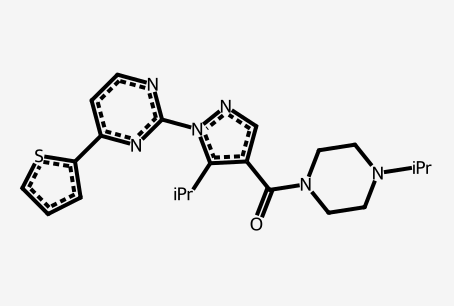 CC(C)c1c(C(=O)N2CCN(C(C)C)CC2)cnn1-c1nccc(-c2cccs2)n1